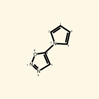 c1ccn(-c2cnno2)c1